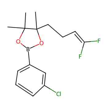 CC1(C)OB(c2cccc(Cl)c2)OC1(C)CCC=C(F)F